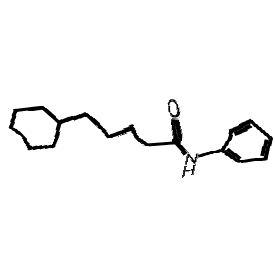 O=C(CCCCC1CCCCC1)Nc1ccccc1